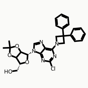 CC1(C)OC2C(O1)[C@@H](CO)O[C@H]2n1cnc2c(N3CC(c4ccccc4)(c4ccccc4)C3)nc(Cl)nc21